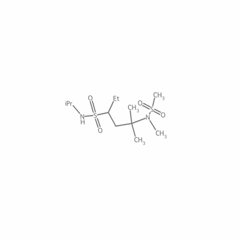 CCC(CC(C)(C)N(C)S(C)(=O)=O)S(=O)(=O)NC(C)C